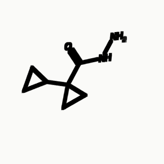 NNC(=O)C1(C2CC2)CC1